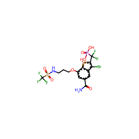 NC(=O)c1cc(OCCCNS(=O)(=O)C(F)(F)F)c2sc(C(F)(F)P(=O)(O)O)c(Br)c2c1